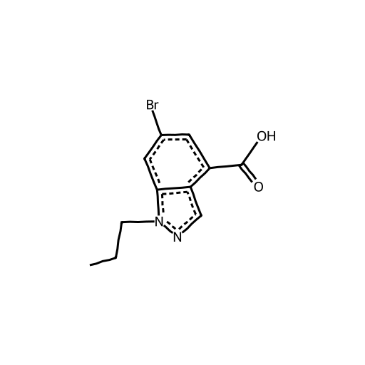 CCCn1ncc2c(C(=O)O)cc(Br)cc21